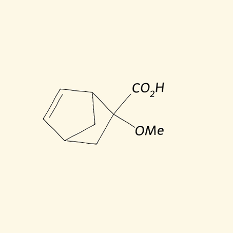 COC1(C(=O)O)CC2C=CC1C2